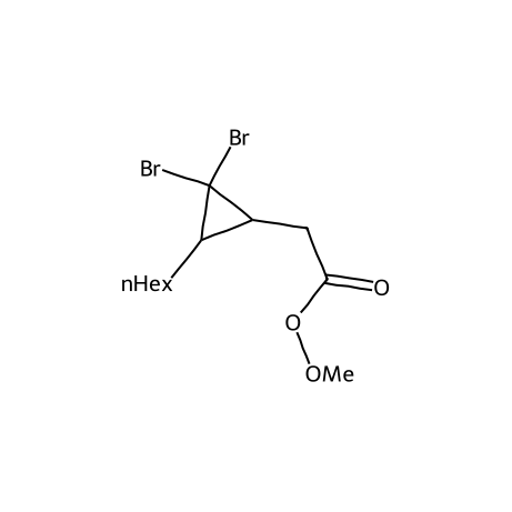 CCCCCCC1C(CC(=O)OOC)C1(Br)Br